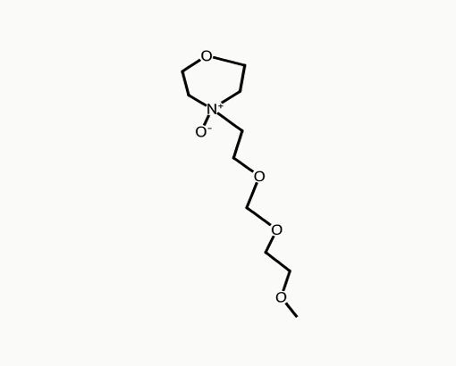 COCCOCOCC[N+]1([O-])CCOCC1